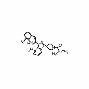 CN(C)C(=O)N1CCC(c2nc(-c3cc4cccc(Br)c4[nH]3)c3c(N)nccn23)CC1